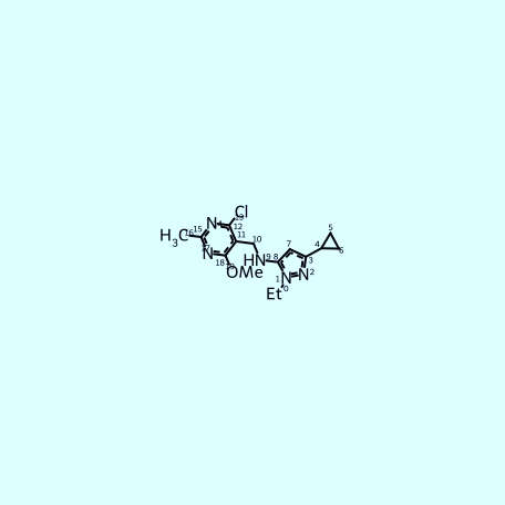 CCn1nc(C2CC2)cc1NCc1c(Cl)nc(C)nc1OC